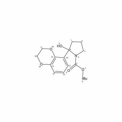 CC(C)(C)OC(=O)N1CCCC1(O)c1cccc2c1OCCO2